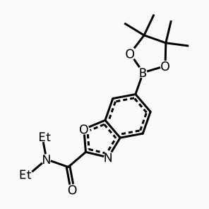 CCN(CC)C(=O)c1nc2ccc(B3OC(C)(C)C(C)(C)O3)cc2o1